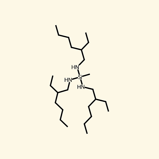 CCCCC(CC)CN[Si](C)(NCC(CC)CCCC)NCC(CC)CCCC